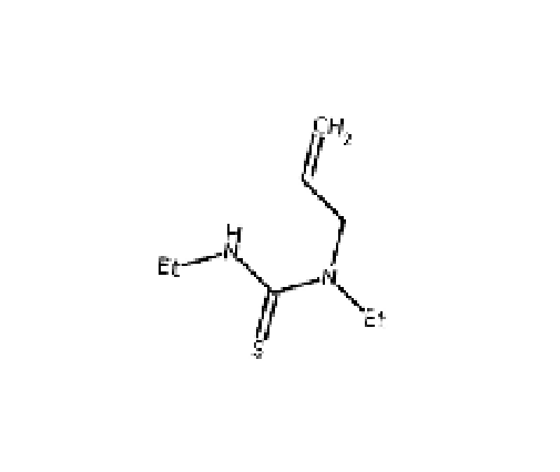 C=CCN(CC)C(=S)NCC